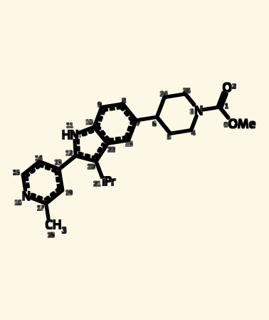 COC(=O)N1CCC(c2ccc3[nH]c(-c4ccnc(C)c4)c(C(C)C)c3c2)CC1